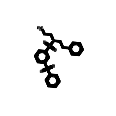 CCCN(CCc1ccccc1)S(=O)(=O)c1cccc(S(=O)(=O)c2ccccc2)c1